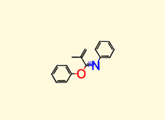 C=C(C)/C(=N\c1ccccc1)Oc1ccccc1